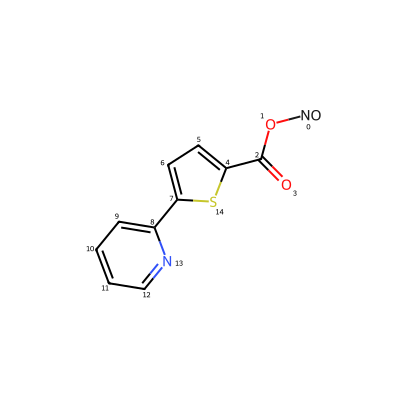 O=NOC(=O)c1ccc(-c2ccccn2)s1